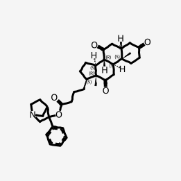 C[C@]12CCC(=O)C[C@H]1CC(=O)[C@@H]1[C@@H]2CC(=O)[C@]2(C)[C@@H](CCCC(=O)OC3(c4ccccc4)CN4CCC3C4)CC[C@@H]12